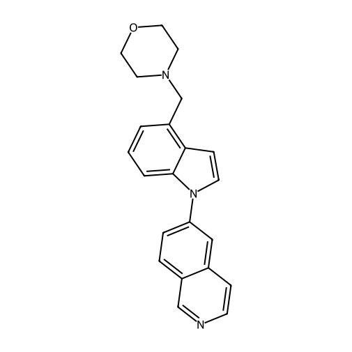 c1cc(CN2CCOCC2)c2ccn(-c3ccc4cnccc4c3)c2c1